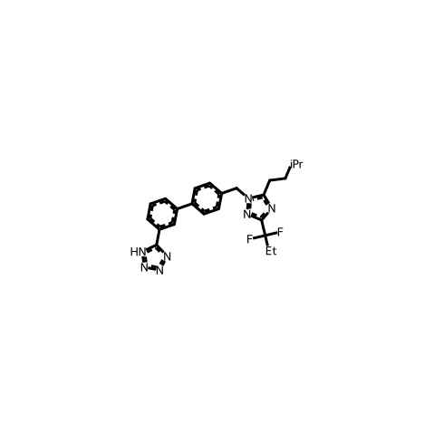 CCC(F)(F)c1nc(CCC(C)C)n(Cc2ccc(-c3cccc(-c4nnn[nH]4)c3)cc2)n1